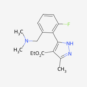 CCOC(=O)c1c(C)n[nH]c1-c1c(F)cccc1CN(C)C